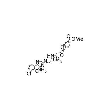 COC(=O)c1ccc(CNC(=O)CC(=O)NC2(C)CCN(c3cnc(-c4cccc(Cl)c4Cl)c(N)n3)CC2)cc1